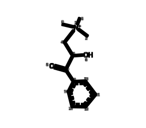 C[N+](C)(C)CC(O)C(=O)c1ccccc1